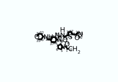 C=CC(=O)N1CCC[C@@H]1Cn1c(NC(=O)c2ccc(-c3cnco3)s2)nc2cc(CNC3CCOCC3)ccc21